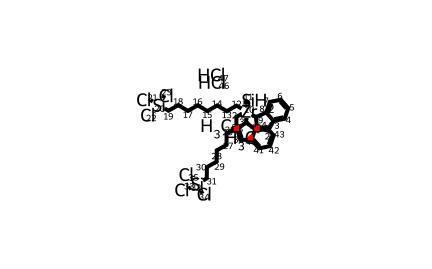 CC1=Cc2ccccc2[CH]1[Zr](=[SiH2])([CH2]CCCCCCC[Si](Cl)(Cl)Cl)([CH2]CCCCCCC[Si](Cl)(Cl)Cl)[CH]1C(C)=Cc2ccccc21.Cl.Cl